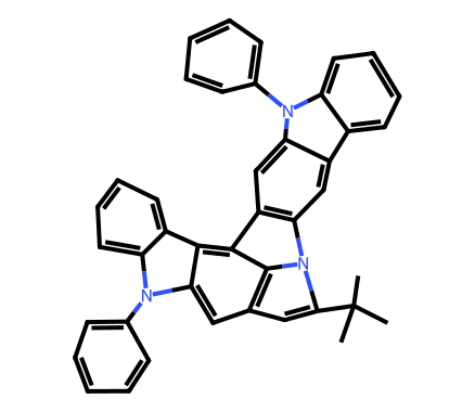 CC(C)(C)c1cc2cc3c(c4ccccc4n3-c3ccccc3)c3c4cc5c(cc4n1c23)c1ccccc1n5-c1ccccc1